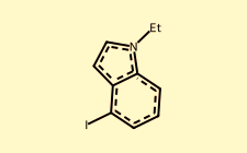 CCn1ccc2c(I)cccc21